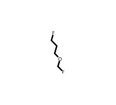 FCCCOCF